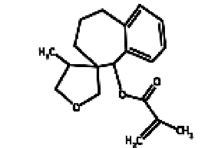 C=C(C)C(=O)OC1c2ccccc2CCCC12COCC2C